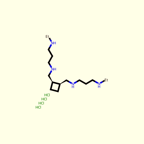 CCNCCCNC[C@H]1CC[C@H]1CNCCCNCC.Cl.Cl.Cl.Cl